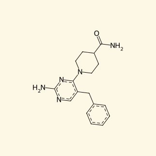 NC(=O)C1CCN(c2nc(N)ncc2Cc2ccccc2)CC1